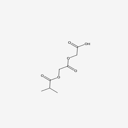 CC(C)C(=O)OCC(=O)OCC(=O)O